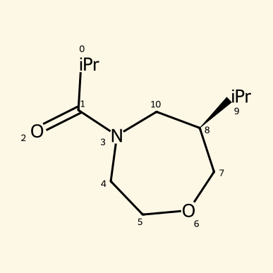 CC(C)C(=O)N1CCOC[C@H](C(C)C)C1